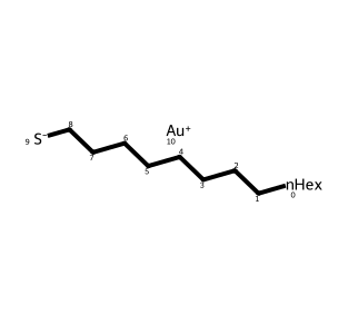 CCCCCCCCCCCCCC[S-].[Au+]